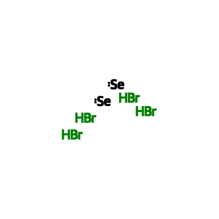 Br.Br.Br.Br.[Se].[Se]